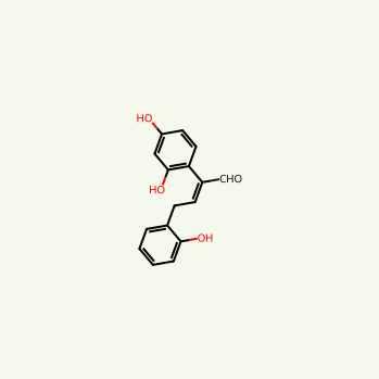 O=CC(=CCc1ccccc1O)c1ccc(O)cc1O